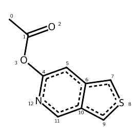 CC(=O)Oc1cc2cscc2cn1